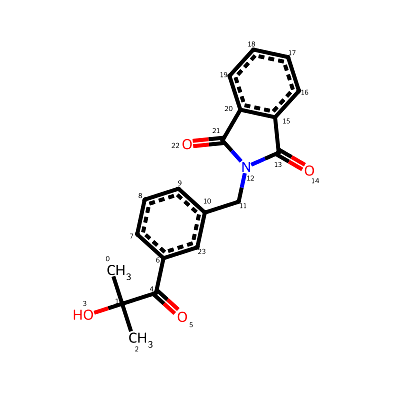 CC(C)(O)C(=O)c1cccc(CN2C(=O)c3ccccc3C2=O)c1